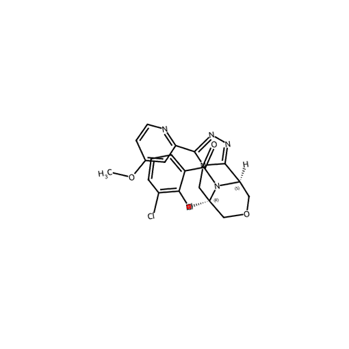 COc1ccnc(-c2nnc3n2C[C@@H]2COC[C@H]3N2C(=O)c2cccc(Cl)c2Cl)c1